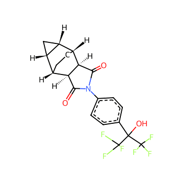 O=C1[C@@H]2[C@@H]3CC[C@@H]([C@@H]4C[C@@H]43)[C@@H]2C(=O)N1c1ccc(C(O)(C(F)(F)F)C(F)(F)F)cc1